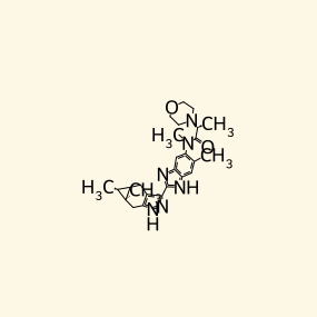 Cc1cc2[nH]c(-c3n[nH]c4c3CC3[C@H](C)[C@]3(C)C4)nc2cc1N(C)C(=O)[C@H](C)N1CCOCC1